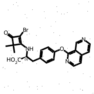 CC1(C)C(=O)C(Br)=C1N[C@@H](Cc1ccc(Oc2nccc3ccncc23)cc1)C(=O)O